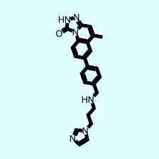 Cc1cc2n[nH]c(=O)n2c2ccc(-c3ccc(CNCCCn4ccnc4)cc3)cc12